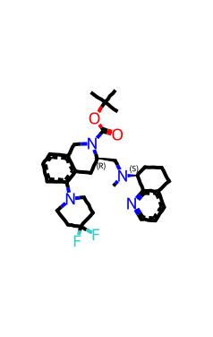 CN(C[C@H]1Cc2c(cccc2N2CCC(F)(F)CC2)CN1C(=O)OC(C)(C)C)[C@H]1CCCc2cccnc21